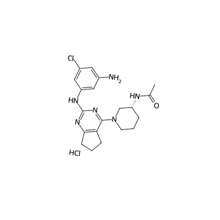 CC(=O)N[C@@H]1CCCN(c2nc(Nc3cc(N)cc(Cl)c3)nc3c2CCC3)C1.Cl